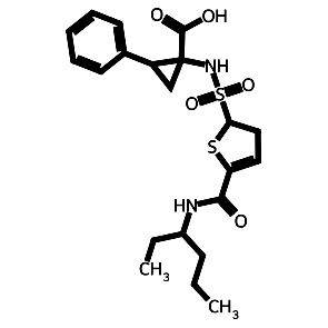 CCCC(CC)NC(=O)C1=CCC(S(=O)(=O)NC2(C(=O)O)CC2c2ccccc2)S1